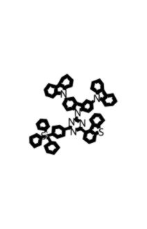 c1ccc([Si](c2ccccc2)(c2ccccc2)c2ccc(-c3nc(-c4cccc5sc6ccccc6c45)nc(-n4c5ccc(-n6c7ccccc7c7ccccc76)cc5c5cc(-n6c7ccccc7c7ccccc76)ccc54)n3)cc2)cc1